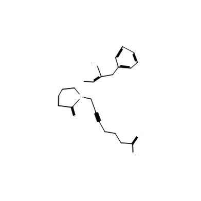 O=C(O)CCCC#CCN1C(=O)CCC[C@@H]1C/C=C(\O)Cc1ccccc1